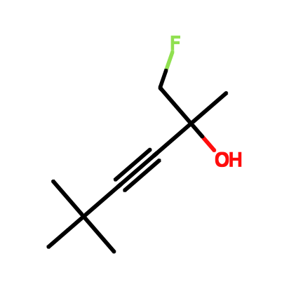 CC(C)(C)C#CC(C)(O)CF